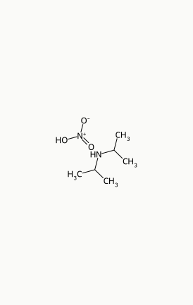 CC(C)NC(C)C.O=[N+]([O-])O